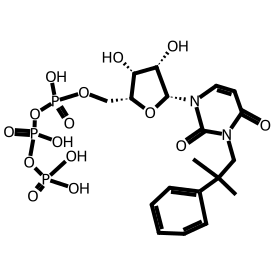 CC(C)(Cn1c(=O)ccn([C@@H]2O[C@H](COP(=O)(O)OP(=O)(O)OP(=O)(O)O)[C@H](O)[C@@H]2O)c1=O)c1ccccc1